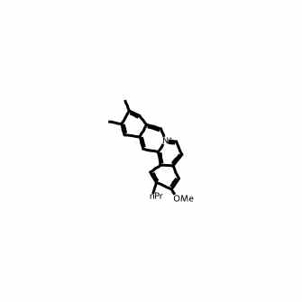 CCCc1cc2c(cc[n+]3cc4cc(C)c(C)cc4cc23)cc1OC